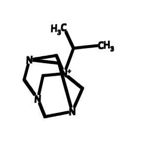 CC(C)[N+]12CN3CN(CN(C3)C1)C2